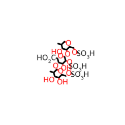 CC1COC(COS(=O)(=O)O)C(OC2OC(C(=O)O)C(OC3OC(COS(=O)(=O)O)C(O)C(O)C3C)C(O)C2OS(=O)(=O)O)C1O